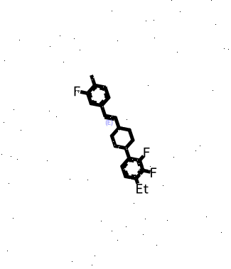 CCc1ccc(C2CCC(/C=C/c3ccc(C)c(F)c3)CC2)c(F)c1F